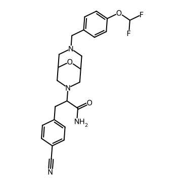 N#Cc1ccc(CC(C(N)=O)N2CC3CN(Cc4ccc(OC(F)F)cc4)CC(C2)O3)cc1